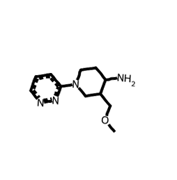 COCC1CN(c2cccnn2)CCC1N